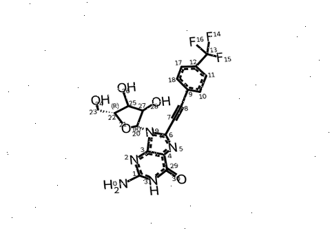 Nc1nc2c(nc(C#Cc3ccc(C(F)(F)F)cc3)n2[C@@H]2O[C@H](CO)C(O)C2O)c(=O)[nH]1